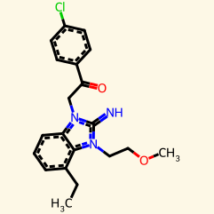 CCc1cccc2c1n(CCOC)c(=N)n2CC(=O)c1ccc(Cl)cc1